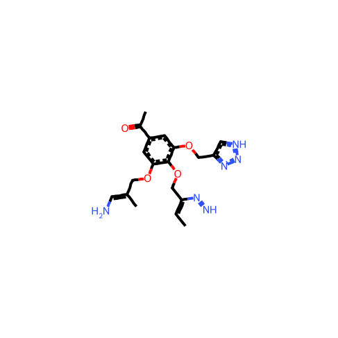 C/C=C(/COc1c(OC/C(C)=C/N)cc(C(C)=O)cc1OCc1c[nH]nn1)N=N